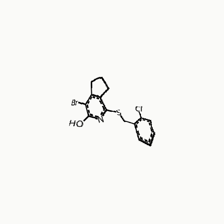 Oc1nc(SCc2ccccc2Cl)c2c(c1Br)CCC2